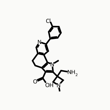 CN1CC(CN)(c2c(C(=O)O)c3c(n2C)-c2cc(-c4cccc(Cl)c4)ncc2CC3)C1